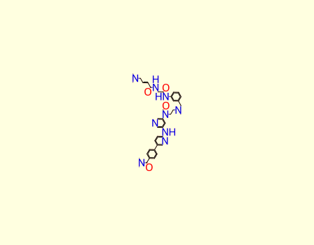 CN(C)C/C=C/C(=O)NCC(=O)Nc1cccc(CN(C)CCN(C=O)c2cncc(Nc3ccc(-c4ccc(C(=O)N(C)C)cc4)cn3)c2)c1